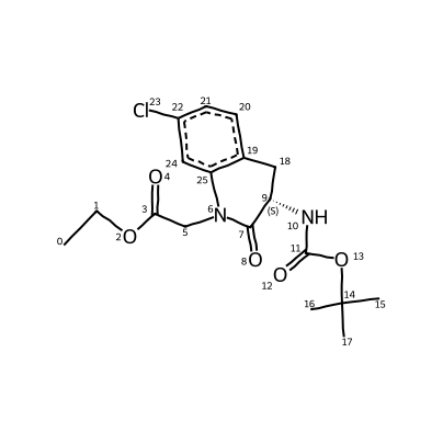 CCOC(=O)CN1C(=O)[C@@H](NC(=O)OC(C)(C)C)Cc2ccc(Cl)cc21